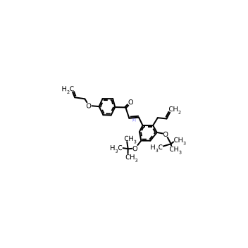 C=CCOc1ccc(C(=O)/C=C/c2cc(OC(C)(C)C)cc(OC(C)(C)C)c2CC=C)cc1